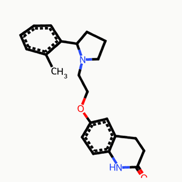 Cc1ccccc1C1CCCN1CCOc1ccc2c(c1)CCC(=O)N2